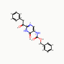 O=C(Nc1cnc(C(=O)Cc2ccccc2)[nH]c1=O)OCc1ccccc1